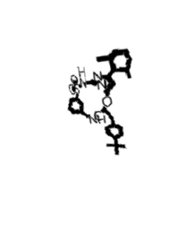 Cc1cccc(C)c1-c1cc2nc(n1)NS(=O)(=O)c1cccc(c1)NCC(Cc1ccc(C(C)(C)C)cc1)O2